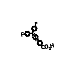 O=C(O)c1ccc(N2CCN(C(c3ccc(F)cc3)c3ccc(F)cc3)CC2)cc1